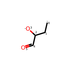 [CH2]CC([O])C=O